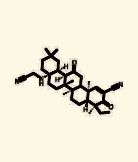 CC[C@]1(C)C(=O)C(C#N)=C[C@]2(C)C3CC(=O)[C@@H]4[C@@H]5CC(C)(C)CC[C@]5(NCC#N)CC[C@@]4(C)[C@]3(C)CC[C@@H]12